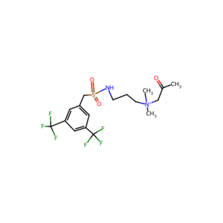 CC(=O)C[N+](C)(C)CCCNS(=O)(=O)Cc1cc(C(F)(F)F)cc(C(F)(F)F)c1